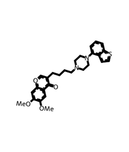 COc1cc2occ(CCCCN3CCN(c4cccc5sccc45)CC3)c(=O)c2cc1OC